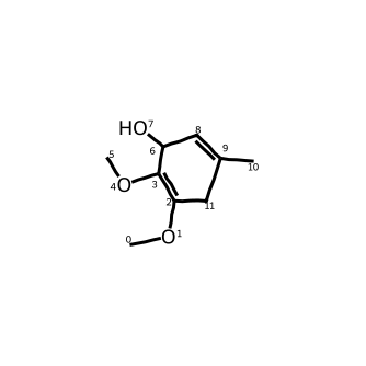 COC1=C(OC)C(O)C=C(C)C1